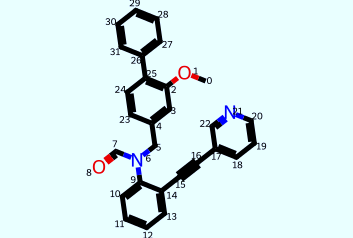 COc1cc(CN(C=O)c2ccccc2C#Cc2cccnc2)ccc1-c1ccccc1